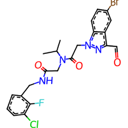 CC(C)N(CC(=O)NCc1cccc(Cl)c1F)C(=O)Cn1nc(C=O)c2cc(Br)ccc21